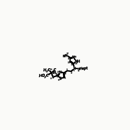 CCCCCCCN(CCc1csc(SC(C)(C)C(=O)O)n1)c1cc(CCC)n[nH]1